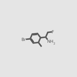 CC1C=C(Br)C=CC1C(N)CF